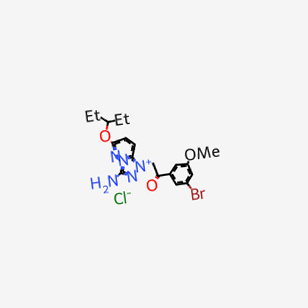 CCC(CC)Oc1ccc2n(n1)c(N)n[n+]2CC(=O)c1cc(Br)cc(OC)c1.[Cl-]